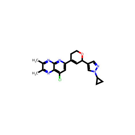 Cc1nc2nc(C3=CC(c4cnn(C5CC5)c4)OCC3)cc(Cl)c2nc1C